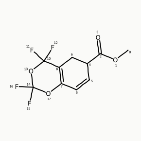 COC(=O)C1C=CC2=C(C1)C(F)(F)OC(F)(F)O2